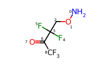 NOCC(F)(F)C(=O)C(F)(F)F